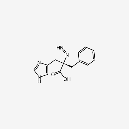 N=N[C@@](Cc1ccccc1)(Cc1c[nH]cn1)C(=O)O